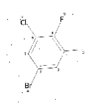 Cc1cc(Br)cc(Cl)c1F